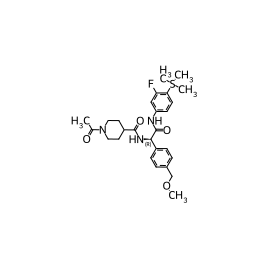 COCc1ccc([C@@H](NC(=O)C2CCN(C(C)=O)CC2)C(=O)Nc2ccc(S(C)(C)C)c(F)c2)cc1